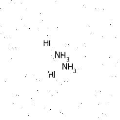 I.I.N.N